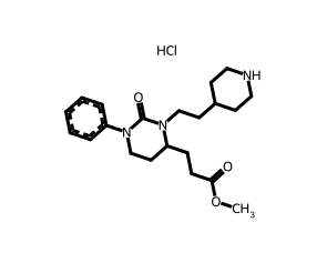 COC(=O)CCC1CCN(c2ccccc2)C(=O)N1CCC1CCNCC1.Cl